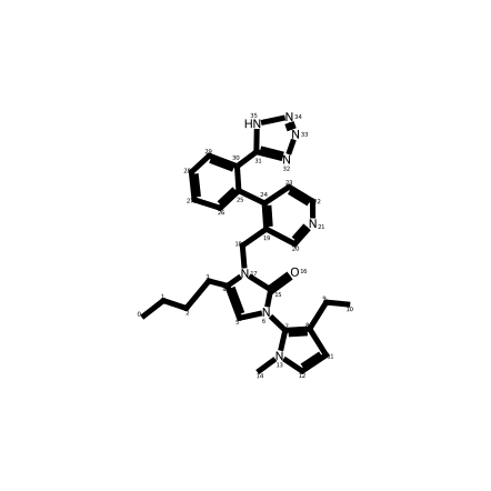 CCCCc1cn(-c2c(CC)ccn2C)c(=O)n1Cc1cnccc1-c1ccccc1-c1nnn[nH]1